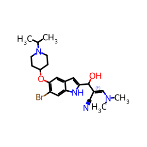 CC(C)N1CCC(Oc2cc3cc(C(O)/C(C#N)=C/N(C)C)[nH]c3cc2Br)CC1